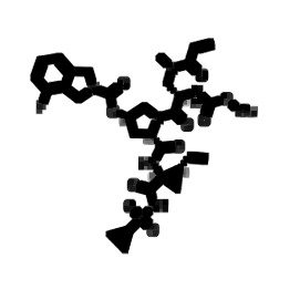 C=CC(=O)N(C)C[C@H](NC(=O)OC(C)(C)C)C(=O)N1C[C@H](OC(=O)N2Cc3cccc(F)c3C2)C[C@H]1C(=O)N[C@]1(C(=O)NS(=O)(=O)C2CC2)C[C@H]1C=C